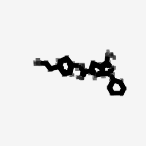 Cc1nn(C2CCCCC2)c2sc(C(=O)Nc3ccc(CCO)cc3)cc12